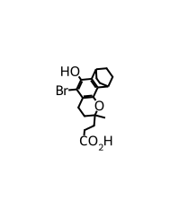 CC1(CCC(=O)O)CCc2c(Br)c(O)c3c(c2O1)C1CCC3CC1